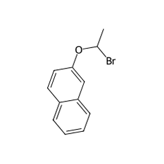 CC(Br)Oc1ccc2ccccc2c1